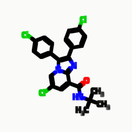 CC(C)(C)NC(=O)c1cc(Cl)cn2c(-c3ccc(Cl)cc3)c(-c3ccc(Cl)cc3)nc12